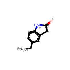 CCOC(=O)Cc1ccc2c(c1)CC(=O)N2